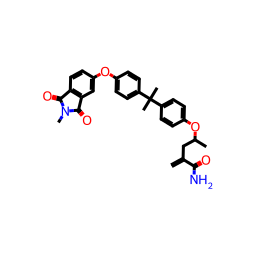 C=C(CC(C)Oc1ccc(C(C)(C)c2ccc(Oc3ccc4c(c3)C(=O)N(C)C4=O)cc2)cc1)C(N)=O